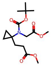 COC(=O)CCC1(N(CC(=O)OC)C(=O)OC(C)(C)C)CC1